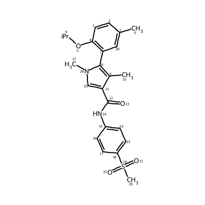 Cc1ccc(OC(C)C)c(-c2c(C)c(C(=O)Nc3ccc(S(C)(=O)=O)cc3)cn2C)c1